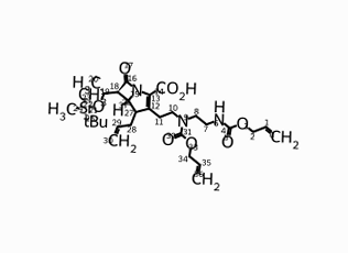 C=CCOC(=O)NCCN(CCC1=C(C(=O)O)N2C(=O)[C@H]([C@@H](C)O[Si](C)(C)C(C)(C)C)[C@H]2C1CC=C)C(=O)OCC=C